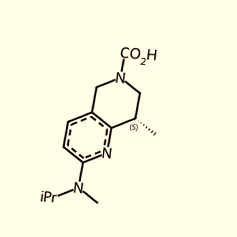 CC(C)N(C)c1ccc2c(n1)[C@@H](C)CN(C(=O)O)C2